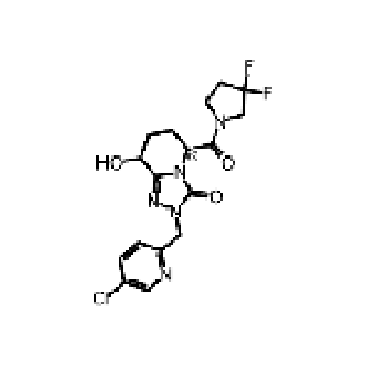 O=C([C@@H]1CCC(O)c2nn(Cc3ccc(Cl)cn3)c(=O)n21)N1CCC(F)(F)C1